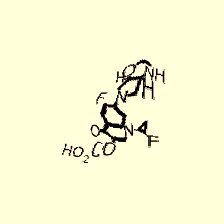 O=C(O)Oc1cn([C@@H]2C[C@@H]2F)c2cc(N3C[C@@H]4NCCO[C@@H]4C3)c(F)cc2c1=O